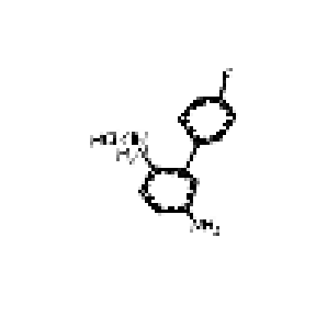 Cl.Cl.Nc1ccc(N)c(-c2ccc(F)cc2)c1